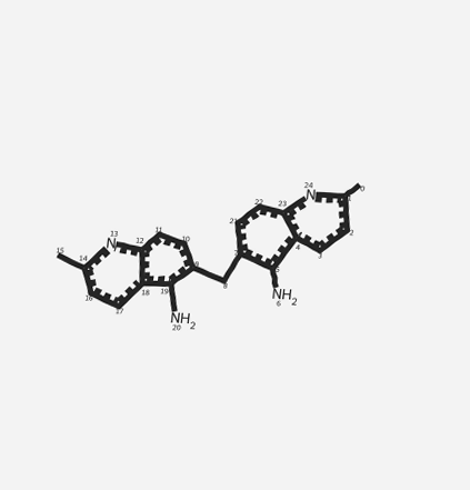 Cc1ccc2c(N)c(Cc3ccc4nc(C)ccc4c3N)ccc2n1